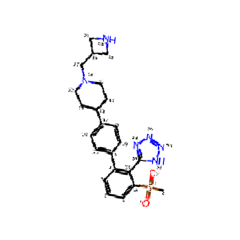 CS(=O)(=O)c1cccc(-c2ccc(C3CCN(CC4CNC4)CC3)cc2)c1-c1nnn[nH]1